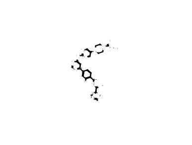 Cc1cc(-c2cc(Nc3ncc(N4CCN(C(=O)OC(C)(C)C)CC4)cn3)ncn2)ccc1[C@@H](C)NC(=O)c1nc(C(C)(C)C)no1